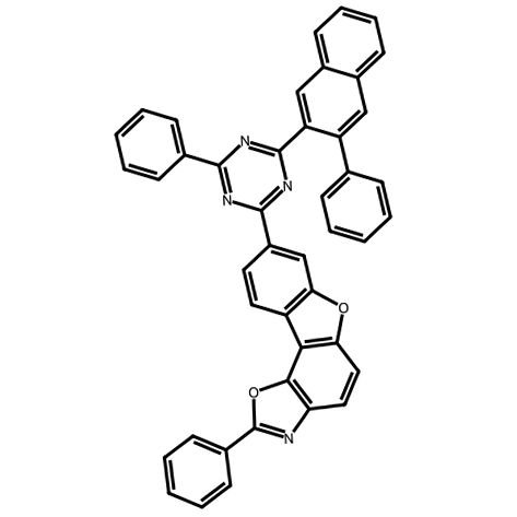 c1ccc(-c2nc(-c3ccc4c(c3)oc3ccc5nc(-c6ccccc6)oc5c34)nc(-c3cc4ccccc4cc3-c3ccccc3)n2)cc1